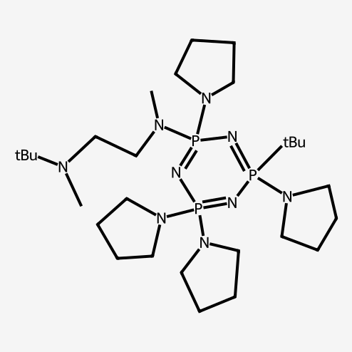 CN(CCN(C)P1(N2CCCC2)=NP(N2CCCC2)(N2CCCC2)=NP(N2CCCC2)(C(C)(C)C)=N1)C(C)(C)C